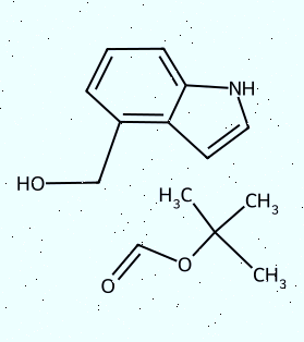 CC(C)(C)OC=O.OCc1cccc2[nH]ccc12